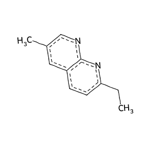 CCc1ccc2cc(C)cnc2n1